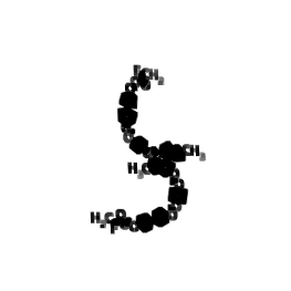 C=C(F)C(=O)OCOc1ccc(-c2ccc(OCOc3ccc(OCOc4cc(-c5c(OCOc6ccc(OCOc7ccc(-c8ccc(OCOC(=O)C(=C)F)cc8)cc7)cc6)ccc6cc(C)ccc56)c5ccc(C)cc5c4)cc3)cc2)cc1